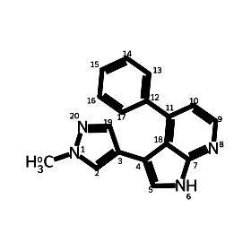 Cn1cc(-c2c[nH]c3nccc(-c4ccccc4)c23)cn1